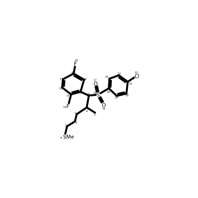 CSCCCC(C)C(c1cc(F)ccc1F)S(=O)(=O)c1ccc(Cl)cc1